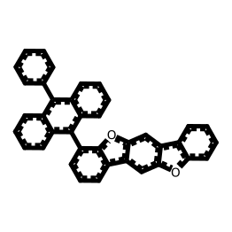 c1ccc(-c2c3ccccc3c(-c3cccc4c3oc3cc5c(cc34)oc3ccccc35)c3ccccc23)cc1